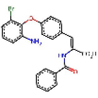 Nc1cccc(Br)c1Oc1ccc(C=C(NC(=O)c2ccccc2)C(=O)O)cc1